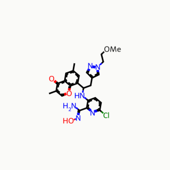 COCCn1cc(CC(Nc2ccc(Cl)nc2C(N)=NO)c2cc(C)cc3c(=O)c(C)coc23)cn1